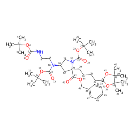 CC(C)(C)OC(=O)NCCN(C(=O)OC(C)(C)C)[C@H]1CN(C(=O)OC(C)(C)C)[C@@](CCCCB2OC(C)(C)C(C)(C)O2)(C(=O)OCc2ccccc2)C1